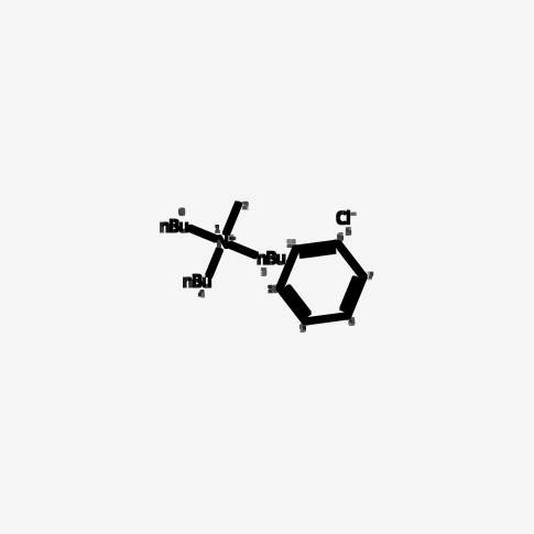 CCCC[N+](C)(CCCC)CCCC.[Cl-].c1ccccc1